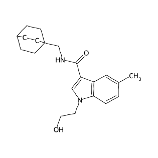 Cc1ccc2c(c1)c(C(=O)NCC13CCC(CC1)CC3)cn2CCO